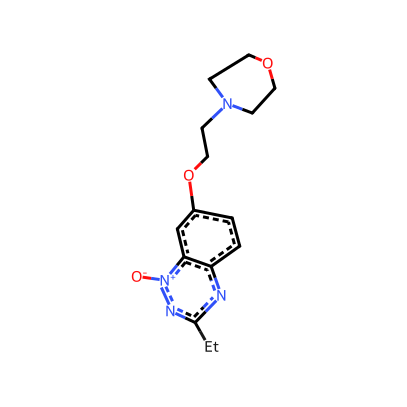 CCc1nc2ccc(OCCN3CCOCC3)cc2[n+]([O-])n1